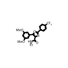 CCNC(=O)c1nc(-c2ccc(C(F)(F)F)cc2)oc1-c1cc(OC)cc(OC)c1